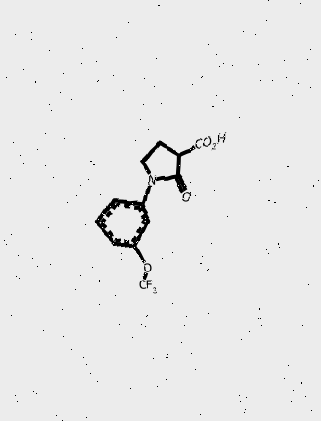 O=C(O)C1CCN(c2cccc(OC(F)(F)F)c2)C1=O